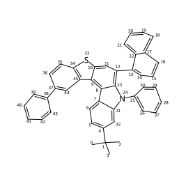 CC(C)(C)c1ccc2c3c4c(cc(-c5cccc6ccccc56)c3n(-c3ccccc3)c2c1)sc1ccc(-c2ccccc2)cc14